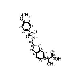 COc1ccc(S(=O)(=O)NCC2Cc3ccc(C(C)C(=O)O)cc3C2)cc1